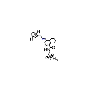 CS(=O)(=O)CCNC(=O)c1ncc(/C=C/C[C@@H]2C[C@H]3CC[C@@H]2C3)c2c1CCCC2